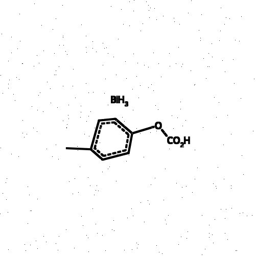 Cc1ccc(OC(=O)O)cc1.[BiH3]